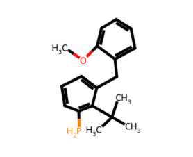 COc1ccccc1Cc1cccc(P)c1C(C)(C)C